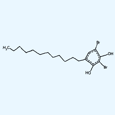 CCCCCCCCCCCCc1cc(Br)c(O)c(Br)c1O